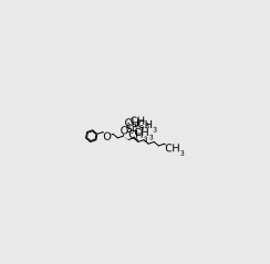 CCCCCC/C=C/C[C@H](CCOCc1ccccc1)O[Si](C)(C)C(C)(C)C